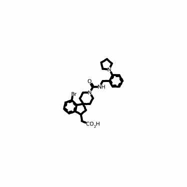 O=C(O)CC1CC2(CCN(C(=O)NCc3ccccc3N3CCCC3)CC2)c2c(Br)cccc21